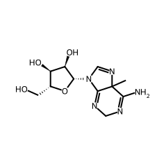 CC12N=CN([C@@H]3O[C@H](CO)[C@@H](O)[C@H]3O)C1=NCN=C2N